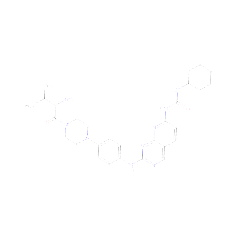 CC(C)C(N)C(=O)N1CCN(c2ccc(Nc3ncc4ccc(NC(=O)NC5CCCCC5)nc4n3)cc2)CC1